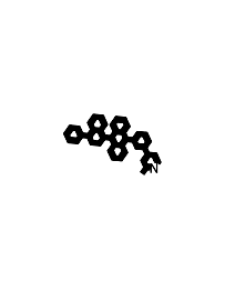 Cc1cc(-c2cccc(-c3c4ccccc4c(C4=c5ccccc5=C(c5ccccc5)CC4)c4ccccc34)c2)ccn1